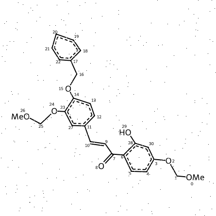 COCOc1ccc(C(=O)C=Cc2ccc(OCc3ccccc3)c(OCOC)c2)c(O)c1